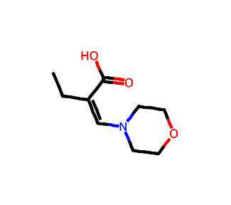 CCC(=CN1CCOCC1)C(=O)O